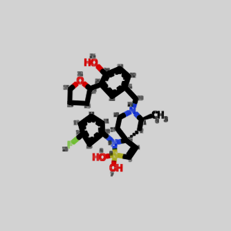 C[C@H]1C[C@@]2(C=CS(O)(O)N2c2cccc(F)c2)CCN1Cc1ccc(O)c(C2CCCO2)c1